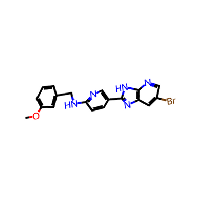 COc1cccc(CNc2ccc(-c3nc4cc(Br)cnc4[nH]3)cn2)c1